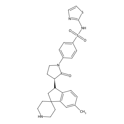 Cc1ccc2c(c1)C1(CCNCC1)CC2[C@H]1CCN(c2ccc(S(=O)(=O)Nc3nccs3)cc2)C1=O